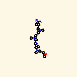 C=NC1=C(/C=C\C)c2ccc(-c3ccc4c5cc(-c6ccc7c(c6)c6ccc(-c8ccc9c(n8)-c8cccc%10c(-n%11c%12ccccc%12c%12cc(-c%13ccc%14oc%15ccccc%15c%14c%13)ccc%12%11)ccc-9c8%10)cc6n7-c6ccccc6)ccc5n(-c5ccccc5)c4c3)c3cccc1c23